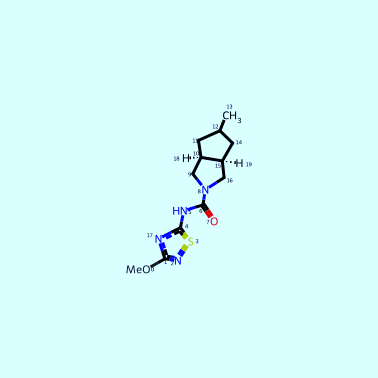 COc1nsc(NC(=O)N2C[C@H]3CC(C)C[C@H]3C2)n1